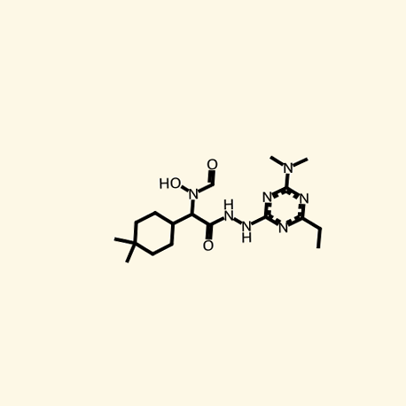 CCc1nc(NNC(=O)C(C2CCC(C)(C)CC2)N(O)C=O)nc(N(C)C)n1